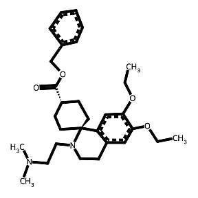 CCOc1cc2c(cc1OCC)[C@]1(CC[C@@H](C(=O)OCc3ccccc3)CC1)N(CCN(C)C)CC2